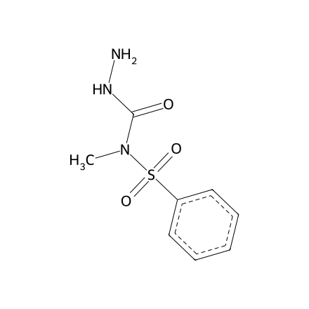 CN(C(=O)NN)S(=O)(=O)c1ccccc1